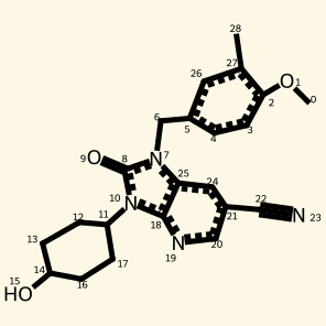 COc1ccc(Cn2c(=O)n(C3CCC(O)CC3)c3ncc(C#N)cc32)cc1C